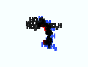 Nc1nc2ncc(CNc3ccc(C(=O)N[C@H](CCC(=O)N[C@H](CC(=O)O)C(=O)N[C@H](CC(=O)O)C(=O)O)C(=O)O)cc3)nc2c(=O)[nH]1